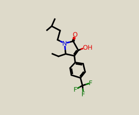 CCC1C(c2ccc(C(F)(F)F)cc2)=C(O)C(=O)N1CCC(C)C